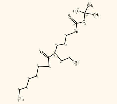 CCCCCCCC(=O)N(CCO)CCCNC(=O)OC(C)(C)C